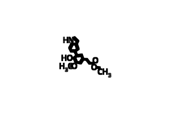 CCOC(=O)CCc1cc(OC)c(O)c(-c2ccc3[nH]ccc3c2)c1